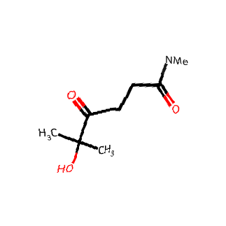 CNC(=O)CCC(=O)C(C)(C)O